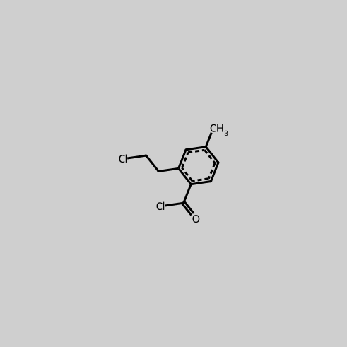 Cc1ccc(C(=O)Cl)c(CCCl)c1